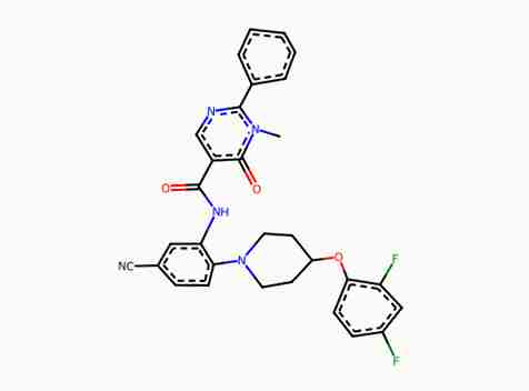 Cn1c(-c2ccccc2)ncc(C(=O)Nc2cc(C#N)ccc2N2CCC(Oc3ccc(F)cc3F)CC2)c1=O